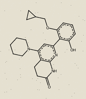 O=C1CCc2c(N3CCCCC3)cc(-c3c(O)cccc3OCC3CC3)nc2N1